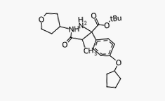 CC(C(=O)NC1CCOCC1)C(N)(C(=O)OC(C)(C)C)c1ccc(OC2CCCC2)cc1